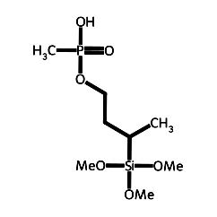 CO[Si](OC)(OC)C(C)CCOP(C)(=O)O